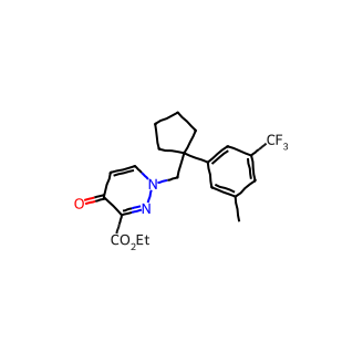 CCOC(=O)c1nn(CC2(c3cc(C)cc(C(F)(F)F)c3)CCCC2)ccc1=O